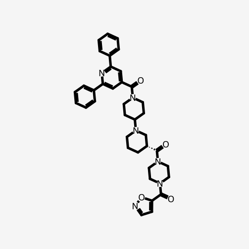 O=C(c1cc(-c2ccccc2)nc(-c2ccccc2)c1)N1CCC(N2CCC[C@@H](C(=O)N3CCN(C(=O)c4ccno4)CC3)C2)CC1